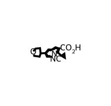 N#CC1(c2c(C(=O)O)cc3cc(C4CCOCC4)ccn23)CC1